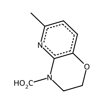 Cc1ccc2c(n1)N(C(=O)O)CCO2